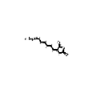 CCCCCCCCCCC=CCC1CC(=O)OC1=O